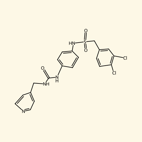 O=C(NCc1ccncc1)Nc1ccc(NS(=O)(=O)Cc2ccc(Cl)c(Cl)c2)cc1